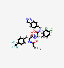 CCC(=O)N[C@H](Cc1ccc(C(F)(F)F)cc1)C(=O)N[C@@H](Cc1ccc(Cl)c(Cl)c1)C(=O)NCc1ccc(CN)cc1